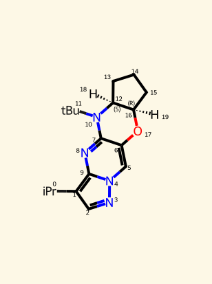 CC(C)c1cnn2cc3c(nc12)N(C(C)(C)C)[C@H]1CCC[C@H]1O3